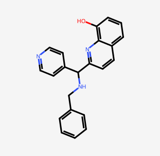 Oc1cccc2ccc(C(NCc3ccccc3)c3ccncc3)nc12